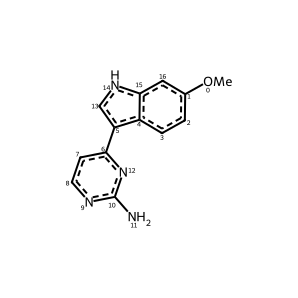 COc1ccc2c(-c3ccnc(N)n3)c[nH]c2c1